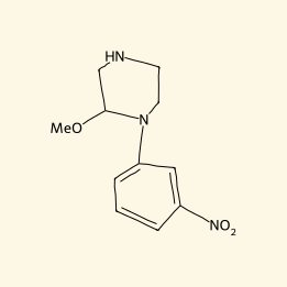 COC1CNCCN1c1cccc([N+](=O)[O-])c1